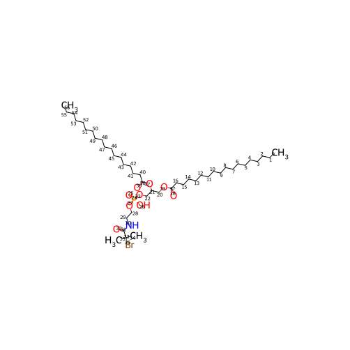 CCCCCCCCCCCCCCCCCC(=O)OCC(COP(=O)(O)OCCNC(=O)C(C)(C)Br)OC(=O)CCCCCCCCCCCCCCCCC